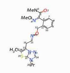 CNC(=O)C(=NOC)c1ccccc1CON=CCC1=C(C)SC2N1N=CN2C(C)C